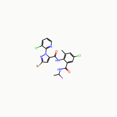 Cc1cc(Cl)cc(C(=O)NC(C)I)c1NC(=O)c1cc(Br)nn1-c1ncccc1Cl